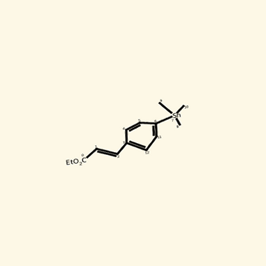 CCOC(=O)C=Cc1cc[c]([Sn]([CH3])([CH3])[CH3])cc1